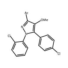 COc1c(C(C)=O)nn(-c2ccccc2Cl)c1-c1ccc(Cl)cc1